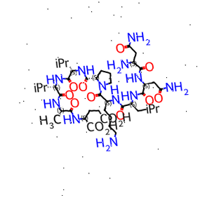 CC(C)C[C@H](NC(=O)[C@H](CC(N)=O)NC(=O)[C@@H](N)CC(N)=O)C(=O)N[C@@H](CCCCN)C(=O)N1CCC[C@H]1C(=O)N[C@H](C(=O)N[C@H](C(=O)N[C@@H](C)C(=O)N[C@@H](CCC(=O)O)C(=O)O)C(C)C)C(C)C